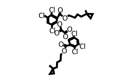 CC1(CCCCOC(=O)c2c(Cl)c(Cl)cc(Cl)c2OC(=O)C(=O)Oc2c(Cl)cc(Cl)c(Cl)c2C(=O)OCCCCC2(C)CC2)CC1